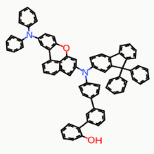 Oc1ccccc1-c1cccc(-c2ccc(N(c3ccc4c(c3)C(c3ccccc3)(c3ccccc3)c3ccccc3-4)c3cc4c5c(cccc5c3)-c3cc(N(c5ccccc5)c5ccccc5)ccc3O4)cc2)c1